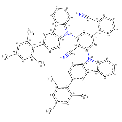 Cc1cc(C)c(-c2ccc3c(c2)c2ccccc2n3-c2cc(-c3ccccc3C#N)cc(-n3c4ccccc4c4cc(-c5c(C)cc(C)cc5C)ccc43)c2C#N)c(C)c1